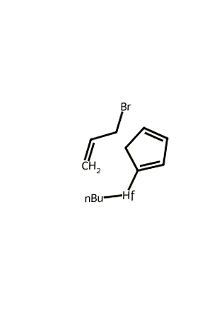 C=CCBr.CCC[CH2][Hf][C]1=CC=CC1